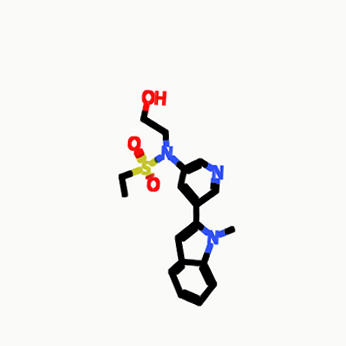 CCS(=O)(=O)N(CCO)c1cncc(-c2cc3ccccc3n2C)c1